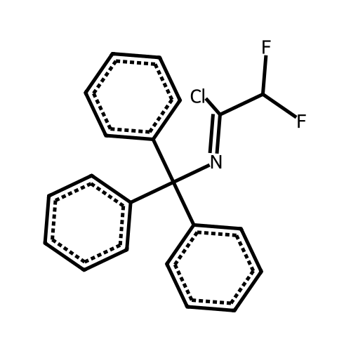 FC(F)/C(Cl)=N/C(c1ccccc1)(c1ccccc1)c1ccccc1